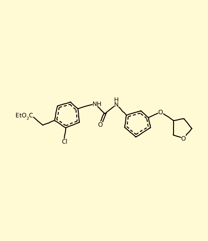 CCOC(=O)Cc1ccc(NC(=O)Nc2cccc(OC3CCOC3)c2)cc1Cl